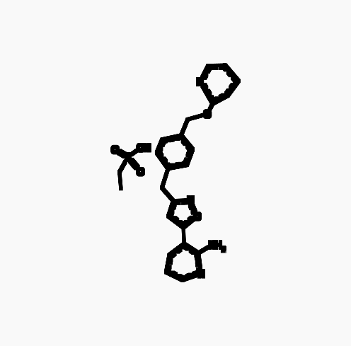 CCS(=O)(=O)O.Nc1ncccc1-c1cc(Cc2ccc(COc3ccccn3)cc2)no1